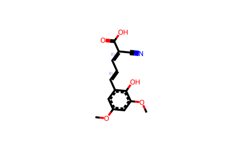 COc1cc(/C=C/C=C(\C#N)C(=O)O)c(O)c(OC)c1